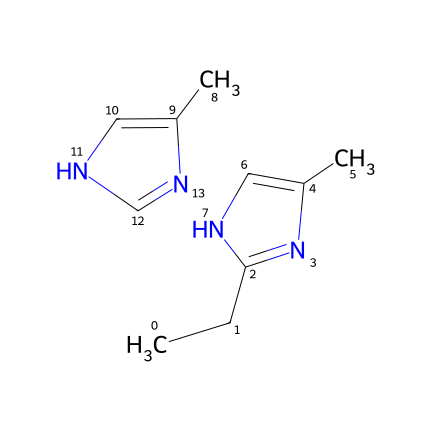 CCc1nc(C)c[nH]1.Cc1c[nH]cn1